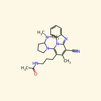 CC(=O)NCCCc1c(C)c(C#N)c2nc3ccccc3n2c1N1CCCC1N(C)C